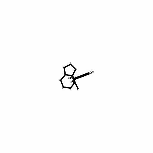 CC12CCCC3CCCC31OC(=O)C2